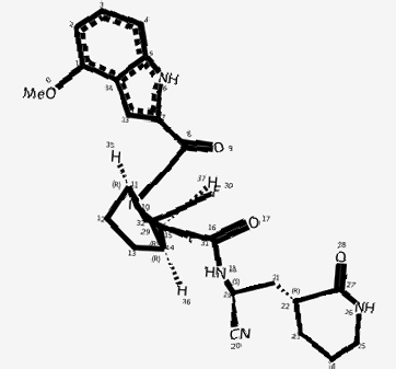 COc1cccc2[nH]c(C(=O)N3[C@@H]4CC[C@H]([C@@H]3C(=O)N[C@H](C#N)C[C@H]3CCCNC3=O)C(F)(F)C4)cc12